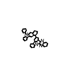 c1ccc(-n2c3ccccc3c3cc4c(-c5cc6c7ccccc7n7c8nc9ccccc9nc8c(c5)c67)cccc4cc32)cc1